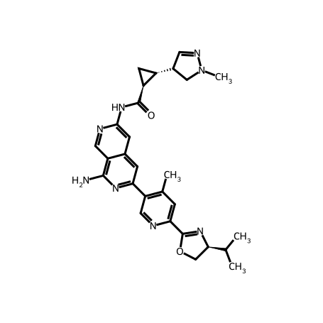 Cc1cc(C2=N[C@@H](C(C)C)CO2)ncc1-c1cc2cc(NC(=O)[C@H]3C[C@@H]3C3C=NN(C)C3)ncc2c(N)n1